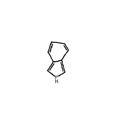 c1ccc2c[pH]cc2c1